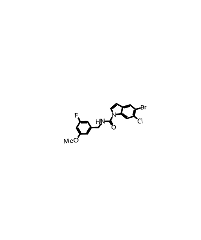 COc1cc(F)cc(CNC(=O)n2ccc3cc(Br)c(Cl)cc32)c1